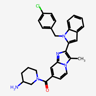 Cc1c(-c2cc3ccccc3n2Cc2ccc(Cl)cc2)nc2cc(C(=O)N3CCCC(N)C3)ccn12